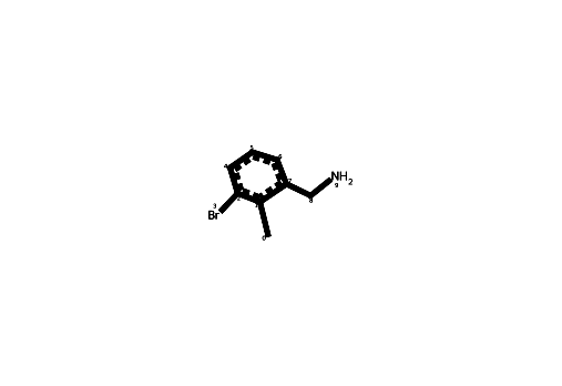 Cc1c(Br)cccc1CN